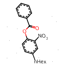 CCCCCCc1ccc(OC(=O)c2ccccc2)c([N+](=O)[O-])c1